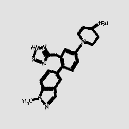 Cn1ncc2cc(-c3ccc(N4CCC(C(C)(C)C)CC4)cc3-c3nn[nH]n3)ccc21